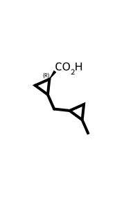 CC1CC1CC1C[C@H]1C(=O)O